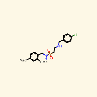 COc1ccc(CNS(=O)(=O)CCNCc2ccc(Cl)cc2)c(OC)c1